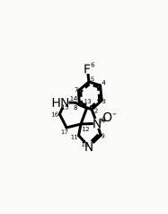 [O-][N+]1(c2ccc(F)cc2)C=NCC12CCNCC2